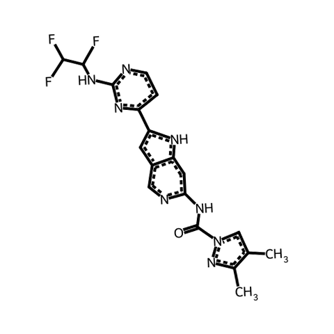 Cc1cn(C(=O)Nc2cc3[nH]c(-c4ccnc(NC(F)C(F)F)n4)cc3cn2)nc1C